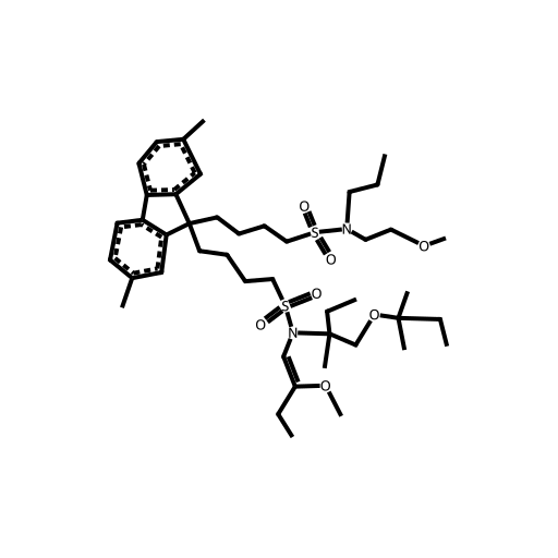 CCCN(CCOC)S(=O)(=O)CCCCC1(CCCCS(=O)(=O)N(/C=C(/CC)OC)C(C)(CC)COC(C)(C)CC)c2cc(C)ccc2-c2ccc(C)cc21